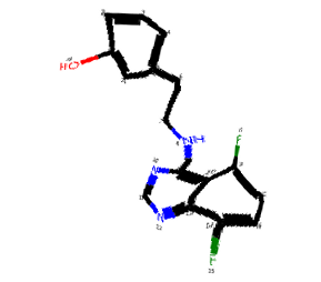 Oc1cccc(CCNc2ncnc3c(F)ccc(F)c23)c1